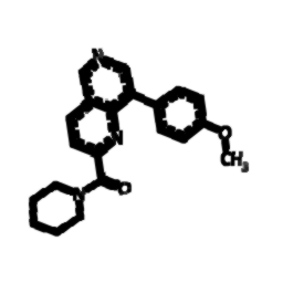 COc1ccc(-c2cncc3ccc(C(=O)N4CCCCC4)nc23)cc1